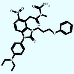 CCN(CC)c1ccc(-n2c(=O)n(CCCOc3ccccc3)c3c(CC(=O)N(C)C(N)=O)c([N+](=O)[O-])ccc32)cc1